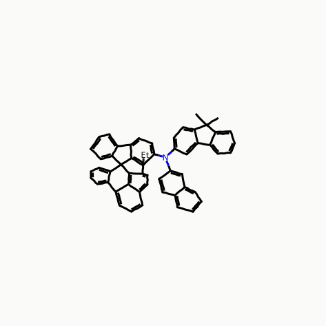 CCc1ccc2cccc3c2c1C1(c2ccccc2-c2ccc(N(c4ccc5c(c4)-c4ccccc4C5(C)C)c4ccc5ccccc5c4)cc21)c1ccccc1-3